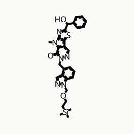 Cn1c2nc(C(O)c3ccccc3)sc2c2cnn(Cc3cccc4c3cnn4COCC[Si](C)(C)C)c(=O)c21